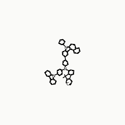 CC1(C)c2ccccc2-c2cccc(N(c3ccc(-c4ccc5c(c4)c4c6ccccc6ccc4n5-c4ccccc4)cc3)c3ccc(-n4c5ccccc5c5ccccc54)cc3)c21